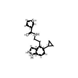 O=C(NCCc1c(C2CC2)ccc2[nH]ncc12)c1ccsc1